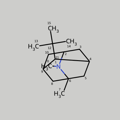 CN1C2CC3CC1(C)CC(C2)C3C(C)(C)C